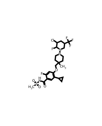 CC1(COc2cc(F)c(C(=O)NS(C)(=O)=O)cc2C2CC2)CCN(N2CC(C(F)(F)F)CC(Cl)C2F)CC1